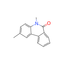 Cc1ccc2c(c1)c1ccccc1c(=O)n2C